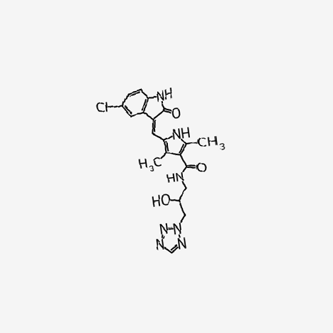 Cc1[nH]c(C=C2C(=O)Nc3ccc(Cl)cc32)c(C)c1C(=O)NCC(O)Cn1ncnn1